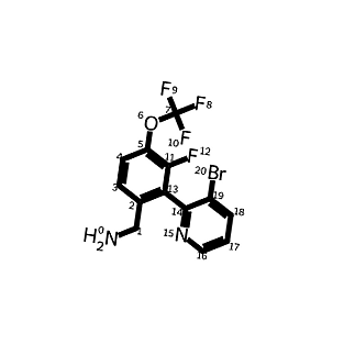 NCc1ccc(OC(F)(F)F)c(F)c1-c1ncccc1Br